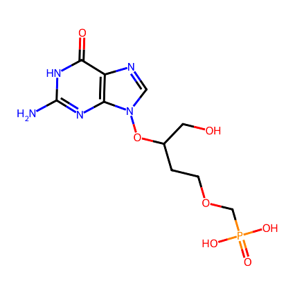 Nc1nc2c(ncn2OC(CO)CCOCP(=O)(O)O)c(=O)[nH]1